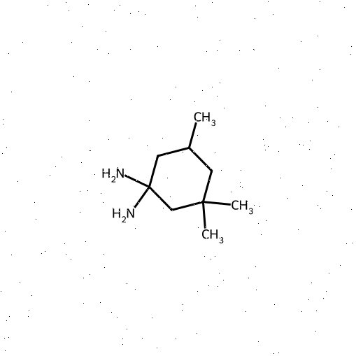 CC1CC(C)(C)CC(N)(N)C1